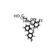 CCn1ccc(O)c(N(C(=O)NCCC(=O)O)c2cccc(-c3ccc(F)cc3F)c2)c1=O